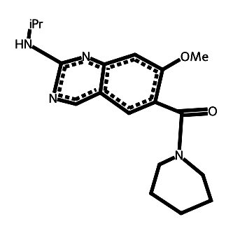 COc1cc2nc(NC(C)C)ncc2cc1C(=O)N1CCCCC1